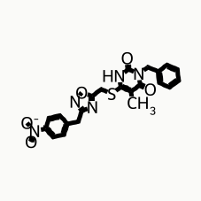 Cc1c(SCc2nc(Cc3ccc([N+](=O)[O-])cc3)no2)[nH]c(=O)n(Cc2ccccc2)c1=O